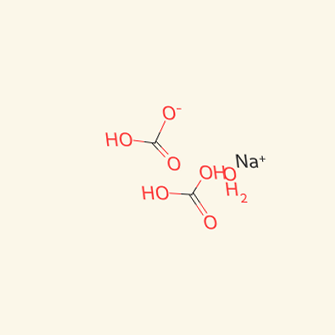 O.O=C(O)O.O=C([O-])O.[Na+]